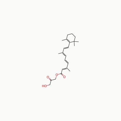 CC(C=CC1=C(C)CCCC1(C)C)=CC=CC(C)=CC(=O)OCC(=O)CO